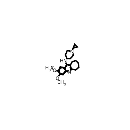 COc1cc2nc3c(c(NC4CCN(C5CC5)CC4)c2cc1OC)CCCCC3